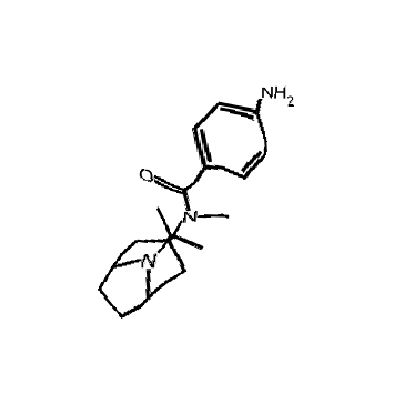 CC(C)N1C2CCC1CC(N(C)C(=O)c1ccc(N)cc1)C2